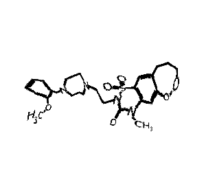 COc1ccccc1N1CCN(CCN2C(=O)N(C)c3cc4c(cc3S2(=O)=O)CCCOO4)CC1